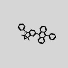 CC12CC1(C)N(c1ccccc1)c1ccc(-c3c4ccccc4c(-c4ccccc4)c4ccccc34)cc12